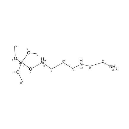 CO[Si](OC)(OC)O[SiH2]CCCNCCN